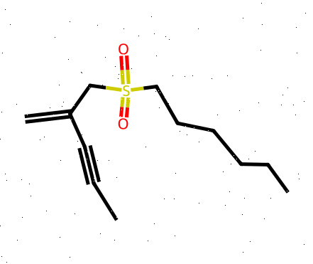 C=C(C#CC)CS(=O)(=O)CCCCCC